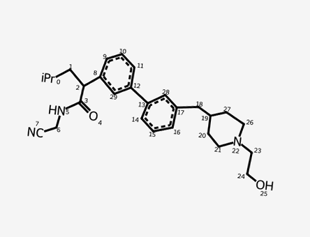 CC(C)CC(C(=O)NCC#N)c1cccc(-c2cccc(CC3CCN(CCO)CC3)c2)c1